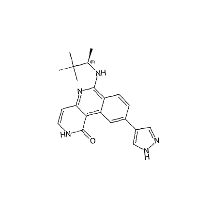 C[C@@H](Nc1nc2cc[nH]c(=O)c2c2cc(-c3cn[nH]c3)ccc12)C(C)(C)C